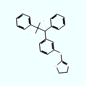 COC(C(=O)O)(c1ccccc1)C(c1ccccc1)c1cccc(NC2=NCCN2)c1